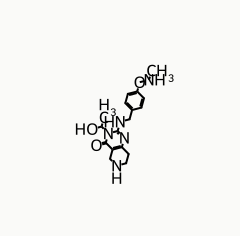 CNOc1ccc(CNc2nc3c(c(=O)n2C(C)O)CNCC3)cc1